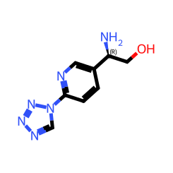 N[C@@H](CO)c1ccc(-n2cnnn2)nc1